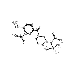 CNc1ccc(C(=O)N2CCC[C@@H](N(C(=O)O)C(C)(C)C)C2)cc1[N+](=O)[O-]